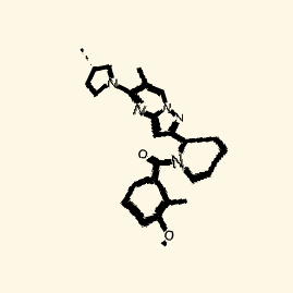 COc1cccc(C(=O)N2CCCCC2c2cc3nc(N4CC[C@H](C)C4)c(C)cn3n2)c1C